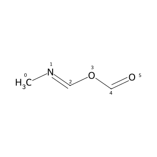 C/N=C/OC=O